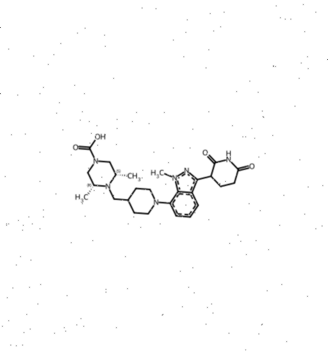 C[C@@H]1CN(C(=O)O)C[C@H](C)N1CC1CCN(c2cccc3c(C4CCC(=O)NC4=O)nn(C)c23)CC1